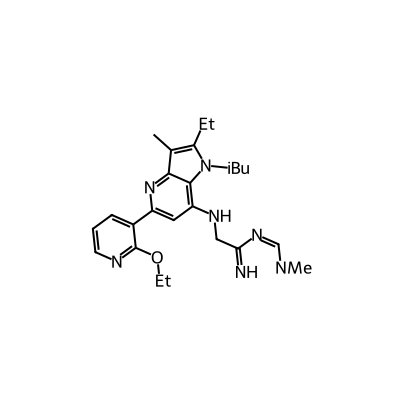 CCOc1ncccc1-c1cc(NCC(=N)/N=C\NC)c2c(n1)c(C)c(CC)n2C(C)CC